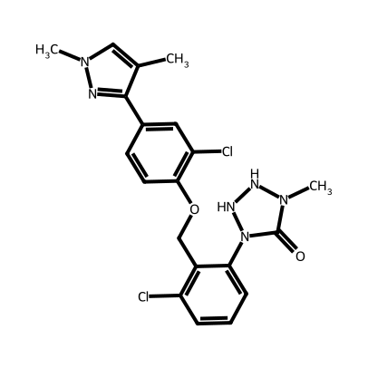 Cc1cn(C)nc1-c1ccc(OCc2c(Cl)cccc2N2NNN(C)C2=O)c(Cl)c1